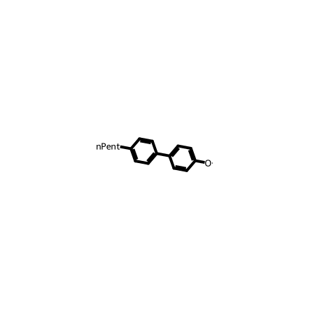 CCCCCc1ccc(-c2ccc([O])cc2)cc1